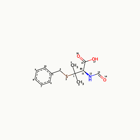 CC(C)(SCc1ccccc1)[C@H](NC=O)C(=O)O